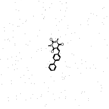 CN1C(=O)C(=Cc2ccc(-c3ccccc3)cc2)C(=O)N(C)C1=O